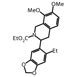 CCOC(=O)N1Cc2c(ccc(OC)c2OC)CC1c1cc2c(cc1CC)OCO2